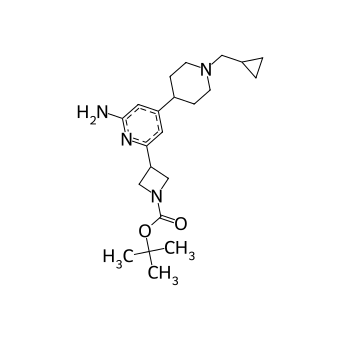 CC(C)(C)OC(=O)N1CC(c2cc(C3CCN(CC4CC4)CC3)cc(N)n2)C1